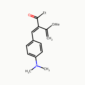 C=C(OC)/C(=C\c1ccc(N(C)C)cc1)C(=O)CC